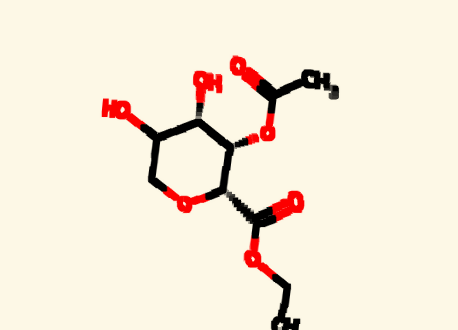 CCOC(=O)[C@@H]1OCC(O)[C@H](O)[C@@H]1OC(C)=O